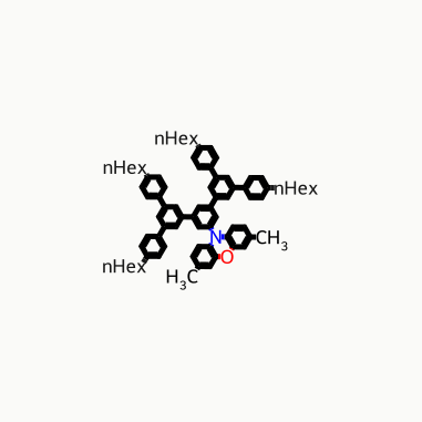 CCCCCCc1ccc(-c2cc(-c3ccc(CCCCCC)cc3)cc(-c3cc(-c4cc(-c5ccc(CCCCCC)cc5)cc(-c5ccc(CCCCCC)cc5)c4)cc(N4c5ccc(C)cc5Oc5cc(C)ccc54)c3)c2)cc1